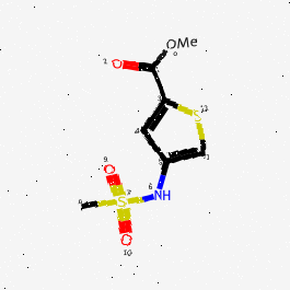 COC(=O)c1cc(NS(C)(=O)=O)cs1